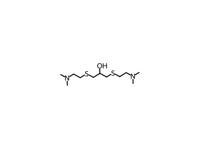 CN(C)CCSCC(O)CSCCN(C)C